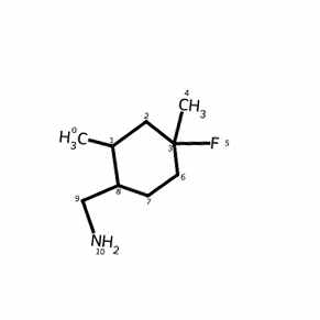 CC1CC(C)(F)CCC1CN